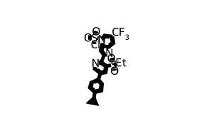 CCS(=O)(=O)c1cc(-c2ccc(C3CC3)cc2)cnc1-c1cc2n(S(=O)(=O)Cl)cc(C(F)(F)F)cc-2n1